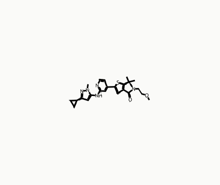 COCCN1C(=O)c2cc(-c3ccnc(Nc4cc(C5CC5)nn4C)c3)sc2C1(C)C